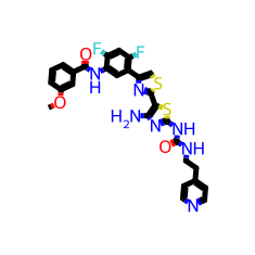 COc1cccc(C(=O)Nc2cc(-c3csc(-c4sc(NC(=O)NCCc5ccncc5)nc4N)n3)c(F)cc2F)c1